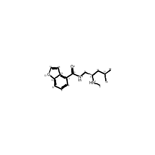 CN[C@@H](CNC(=O)c1cccc2occc12)CC(C)C